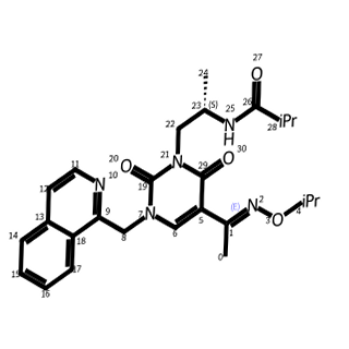 C/C(=N\OC(C)C)c1cn(Cc2nccc3ccccc23)c(=O)n(C[C@H](C)NC(=O)C(C)C)c1=O